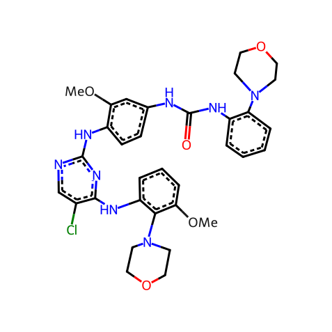 COc1cc(NC(=O)Nc2ccccc2N2CCOCC2)ccc1Nc1ncc(Cl)c(Nc2cccc(OC)c2N2CCOCC2)n1